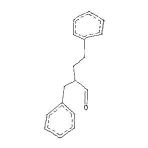 O=CC(CCc1ccccc1)Cc1ccccc1